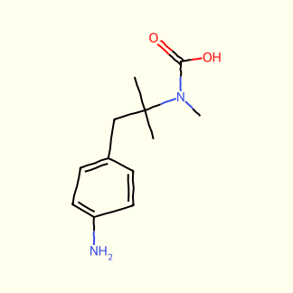 CN(C(=O)O)C(C)(C)Cc1ccc(N)cc1